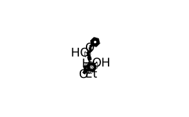 CC[C@@]12CC[C@H](O)[C@@H](C#C[C@H](O)COc3ccccc3)[C@@H]1CC2=O